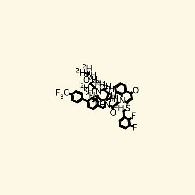 [2H]C([2H])([2H])OC([2H])([2H])C([2H])([2H])N1C([2H])([2H])C([2H])([2H])C([2H])(N(Cc2ccc(-c3ccc(C(F)(F)F)cc3)cc2)C(=O)C([2H])([2H])n2c(SCc3cccc(F)c3F)cc(=O)c3ccccc32)C([2H])([2H])C1([2H])[2H]